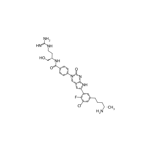 C[C@H](N)CCCc1cc(Cl)c(F)c(-c2cc3cn(-c4ccc(C(=O)N[C@@H](CO)CCNC(=N)N)cc4)c(=O)nc3[nH]2)c1